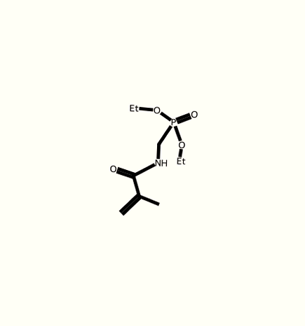 C=C(C)C(=O)NCP(=O)(OCC)OCC